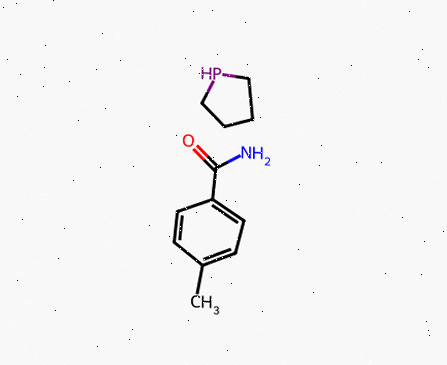 C1CCPC1.Cc1ccc(C(N)=O)cc1